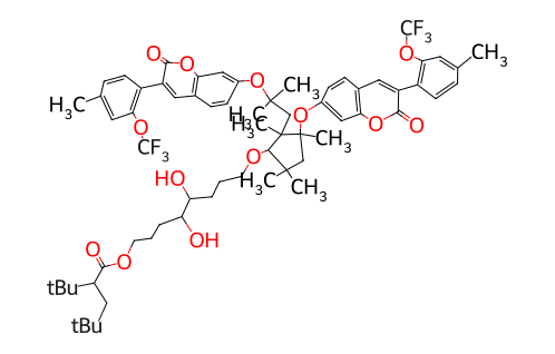 Cc1ccc(-c2cc3ccc(OC(C)(C)CC4(C)C(OCCCC(O)C(O)CCCOC(=O)C(CC(C)(C)C)C(C)(C)C)C(C)(C)CC4(C)Oc4ccc5cc(-c6ccc(C)cc6OC(F)(F)F)c(=O)oc5c4)cc3oc2=O)c(OC(F)(F)F)c1